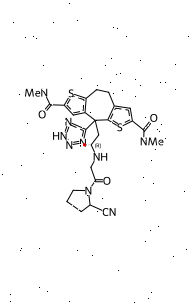 CNC(=O)c1cc2c(s1)CCc1cc(C(=O)NC)sc1C2(C[C@@H](C)NCC(=O)N1CCCC1C#N)c1nn[nH]n1